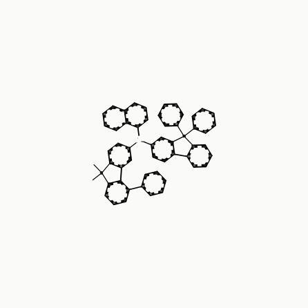 CC1(C)c2ccc(N(c3ccc4c(c3)C(c3ccccc3)(c3ccccc3)c3ccccc3-4)c3cccc4ccccc34)cc2-c2c(-c3ccccc3)cccc21